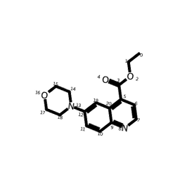 CCOC(=O)c1ccnc2ccc(N3CCOCC3)cc12